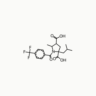 CC(C)CC1(C(=O)O)CC(C(=O)O)C(C)N1C(=O)c1ccc(C(F)(F)F)cc1